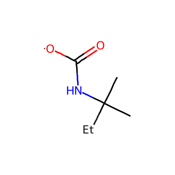 CCC(C)(C)NC([O])=O